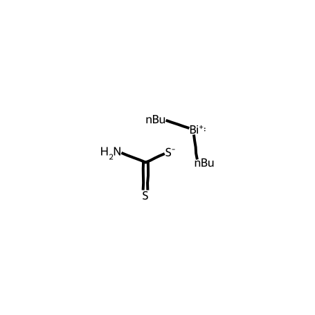 CCC[CH2][Bi+][CH2]CCC.NC(=S)[S-]